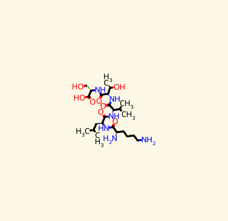 CC(C)C[C@H](NC(=O)[C@@H](N)CCCCN)C(=O)N[C@H](C(=O)N[C@H](C(=O)N[C@@H](CO)C(=O)O)[C@@H](C)O)C(C)C